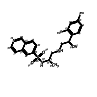 C[C@H](CNCC(O)c1ccc(F)cc1F)NS(=O)(=O)c1ccc2cnccc2c1